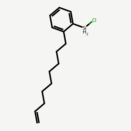 C=CCCCCCCCc1ccccc1[SiH2]Cl